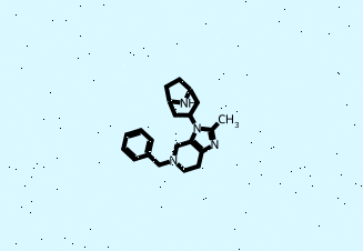 Cc1nc2c(n1C1CC3CCC(C1)N3)CN(Cc1ccccc1)CC2